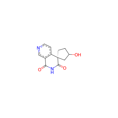 O=C1NC(=O)[C@@]2(CCC(O)C2)c2ccncc21